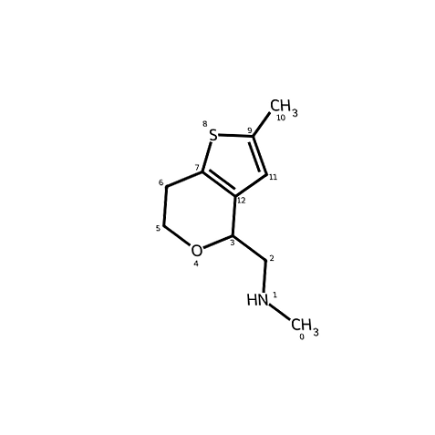 CNCC1OCCc2sc(C)cc21